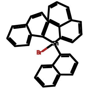 [Br][Sn]([c]1cccc2ccccc12)([c]1cccc2ccccc12)[c]1cccc2ccccc12